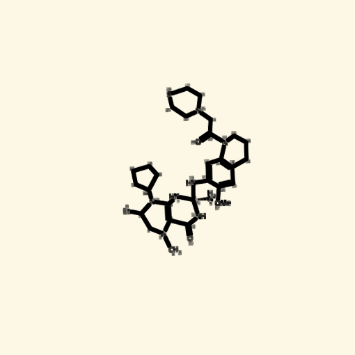 CCC1CN(C)C2=C(N[C@@](N)(Nc3cc4c(cc3OC)CCCN4C(=O)CN3CCSCC3)NC2=O)N1C1CCCC1